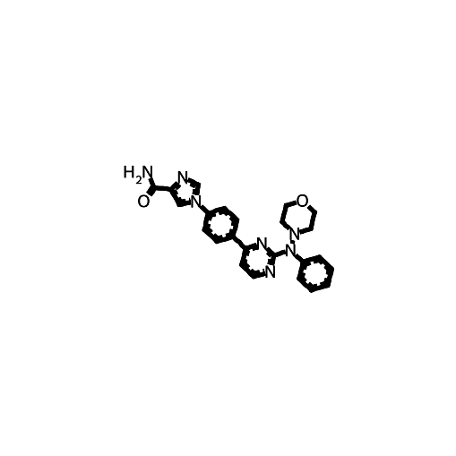 NC(=O)c1cn(-c2ccc(-c3ccnc(N(c4ccccc4)N4CCOCC4)n3)cc2)cn1